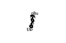 CCCCc1cnc(-c2ccc(OCc3ccc(OCC)cc3)cc2)nc1